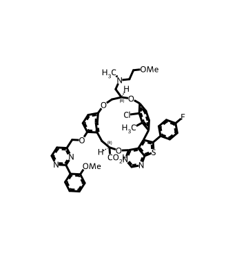 COCCN(C)C[C@@H]1COc2ccc(OCc3ccnc(-c4ccccc4OC)n3)c(c2)C[C@H](C(=O)O)Oc2ncnc3sc(-c4ccc(F)cc4)c(c23)-c2ccc(c(Cl)c2C)O1